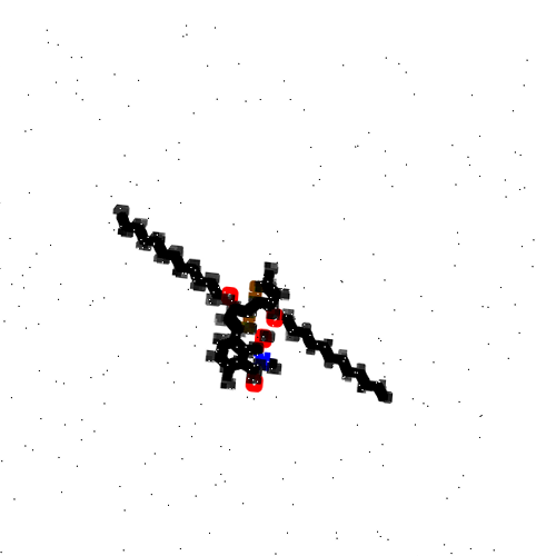 CCCCCCCCCCCCOc1cc(C)sc1-c1sc(-c2ccc(C)c3c2C(=O)N(C)C3=O)cc1OCCCCCCCCCCCC